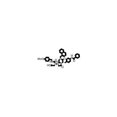 C#CCN(C(=O)NCc1ccc(OC)cc1)N1CC(=O)N2[C@@H](Cc3ccc(NC(=O)c4ccccc4)cc3)C(=O)N(Cc3cccc4ccccc34)C[C@@H]21